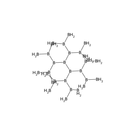 BB(B)B(B(B)B)B(B(B(B)B)B(B)B)B(B(B(B)B)B(B)B)B(B(B)B)B(B)B